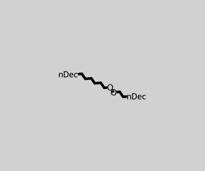 CCCCCCCCCCCCCCCCOOCCCCCCCCCCCC